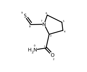 NC(=O)C1CCCN1[C]=S